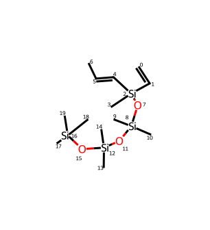 C=C[Si](C)(C=CC)O[Si](C)(C)O[Si](C)(C)O[Si](C)(C)C